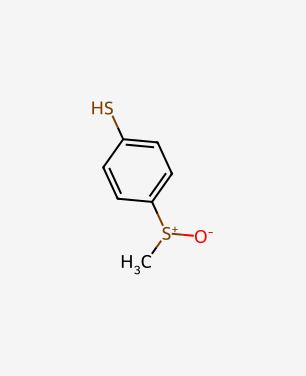 C[S+]([O-])c1ccc(S)cc1